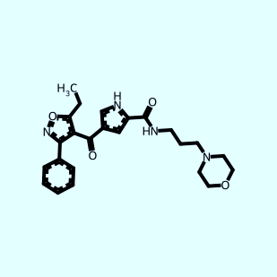 CCc1onc(-c2ccccc2)c1C(=O)c1c[nH]c(C(=O)NCCCN2CCOCC2)c1